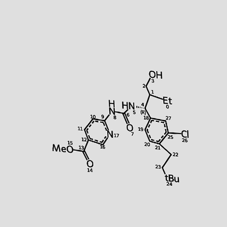 CCC(CO)[C@@H](NC(=O)Nc1ccc(C(=O)OC)cn1)c1ccc(CCC(C)(C)C)c(Cl)c1